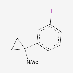 CNC1(c2cccc(I)c2)CC1